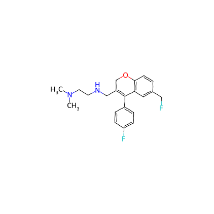 CN(C)CCNCC1=C(c2ccc(F)cc2)c2cc(CF)ccc2OC1